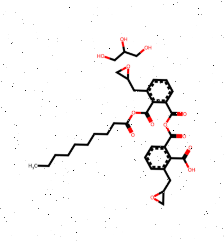 CCCCCCCCCC(=O)OC(=O)c1c(CC2CO2)cccc1C(=O)OC(=O)c1cccc(CC2CO2)c1C(=O)O.OCC(O)CO